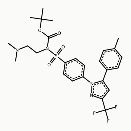 Cc1ccc(-c2cc(C(F)(F)F)nn2-c2ccc(S(=O)(=O)N(CCN(C)C)C(=O)OC(C)(C)C)cc2)cc1